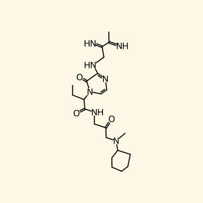 CCC(C(=O)NCC(=O)CN(C)C1CCCCC1)n1ccnc(NCC(=N)C(C)=N)c1=O